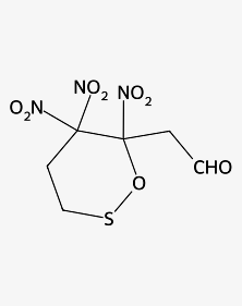 O=CCC1([N+](=O)[O-])OSCCC1([N+](=O)[O-])[N+](=O)[O-]